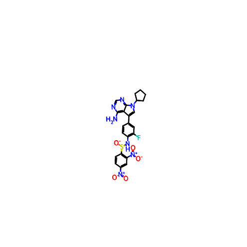 Nc1ncnc2c1c(-c1ccc(N[S+]([O-])c3ccc([N+](=O)[O-])cc3[N+](=O)[O-])c(F)c1)cn2C1CCCC1